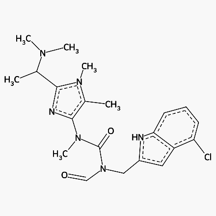 Cc1c(N(C)C(=O)N(C=O)Cc2cc3c(Cl)cccc3[nH]2)nc(C(C)N(C)C)n1C